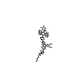 CCCCCC(C)(C)c1ccc(-c2cc3c(s2)-c2sc(-c4ccc(-c5c6c(c(C(C)(CCC)CCC)c7nsnc57)N=S=N6)s4)cc2C3(CCCC)CCCC)s1